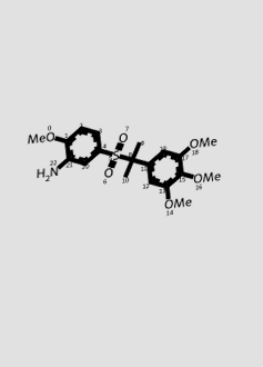 COc1ccc(S(=O)(=O)C(C)(C)c2cc(OC)c(OC)c(OC)c2)cc1N